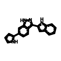 c1c[nH]c(-c2ccc3c(-c4cc5ccccc5[nH]4)n[nH]c3c2)c1